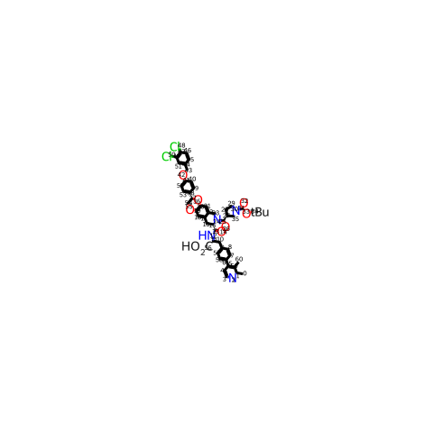 Cc1nccc(-c2ccc(C[C@H](NC(=O)[C@@H]3Cc4cc5c(cc4CN3C(=O)[C@H]3CCN(C(=O)OC(C)(C)C)C3)O[C@@H](c3ccc(OCc4ccc(Cl)c(Cl)c4)cc3)CO5)C(=O)O)cc2)c1C